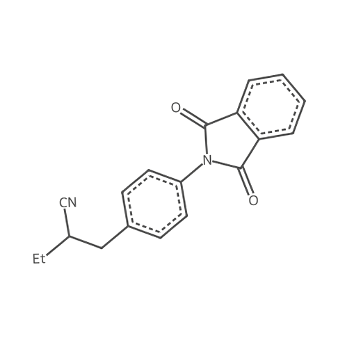 CCC(C#N)Cc1ccc(N2C(=O)c3ccccc3C2=O)cc1